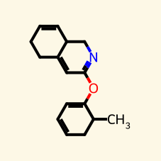 CC1CC=CC=C1OC1=NCC2C=CCCC2=C1